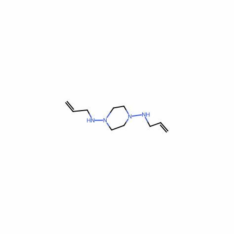 C=CCNN1CCN(NCC=C)CC1